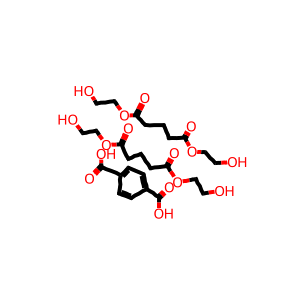 O=C(CCCC(=O)OCCO)OCCO.O=C(CCCC(=O)OCCO)OCCO.O=C(O)c1ccc(C(=O)O)cc1